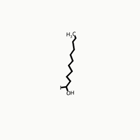 CCCCCCCCCCC(O)I